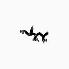 [CH2]C(O)CN(N)C(=O)NN